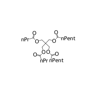 CCCCCC(=O)OCC(COC(=O)CCC)(COC(=O)CCC)COC(=O)CCCCC